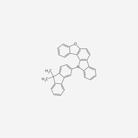 CC1(C)c2ccccc2-c2cc(-n3c4ccccc4c4ccc5oc6ccccc6c5c43)ccc21